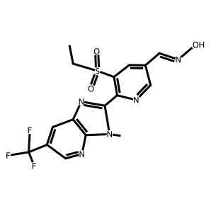 CCS(=O)(=O)c1cc(C=NO)cnc1-c1nc2cc(C(F)(F)F)cnc2n1C